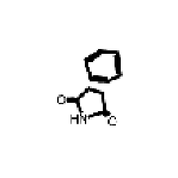 O=C1CCC(=O)N1.c1ccccc1